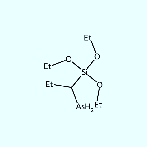 CCO[Si](OCC)(OCC)C([AsH2])CC